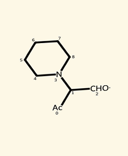 CC(=O)C([C]=O)N1CCCCC1